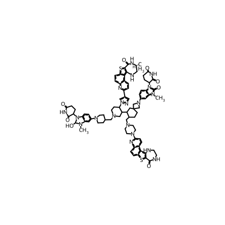 C[C@@H]1CNc2c(sc3ccc4nc(-c5cnn(C6CCN(CC7CCN(c8ccc9c(c8)N(C)C(O)N9C8CCC(=O)NC8=O)CC7)CC6C6CC7(CCC6CN6CCN(c8ccc9c(ccc%10sc%11c(c%109)NCCNC%11=O)n8)CC6)CN(c6ccc8c(c6)n(C)c(=O)n8C6CCC(=O)NC6=O)C7)c5)ccc4c23)C(=O)N1